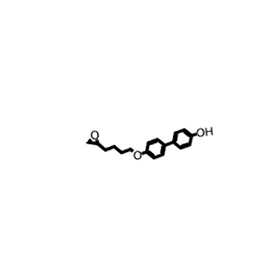 Oc1ccc(-c2ccc(OCCCCC3CO3)cc2)cc1